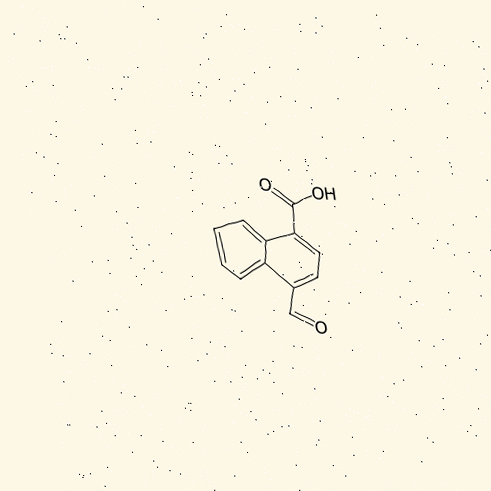 O=Cc1ccc(C(=O)O)c2ccccc12